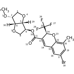 CO[C@@H]1CO[C@H]2[C@@H]1OC[C@@H]2OC(=O)C1=Cc2cc(Br)cc(C)c2O[C@@H]1C(F)(F)F